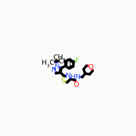 CC(C)(C)n1ncc(C2=NC(C(=O)NCC3CCOCC3)CS2)c1-c1ccc(F)cc1